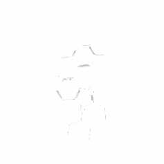 CCc1nc2c(-c3cc(C)c(OC)cc3C)nccc2n1C(CC)CC